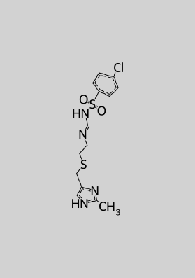 Cc1nc(CSCCN=CNS(=O)(=O)c2ccc(Cl)cc2)c[nH]1